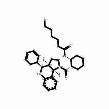 O=C(CCCCCBr)N[C@@H]1CCCC[C@@H]1C(=O)N1CC[C@@H]2[C@H](C3C=CC=CC3)Nc3ccccc3[C@@H]21